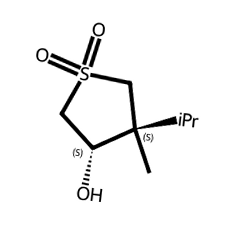 CC(C)[C@]1(C)CS(=O)(=O)C[C@H]1O